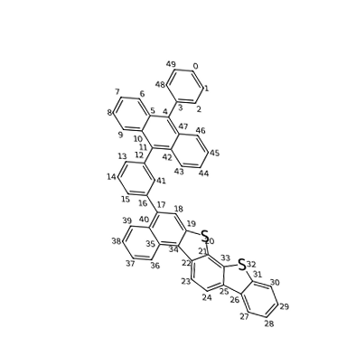 c1ccc(-c2c3ccccc3c(-c3cccc(-c4cc5sc6c(ccc7c8ccccc8sc76)c5c5ccccc45)c3)c3ccccc23)cc1